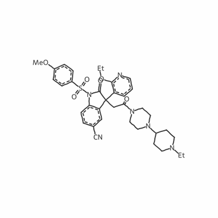 CCOc1ncccc1C1(CC(=O)N2CCN(C3CCN(CC)CC3)CC2)C(=O)N(S(=O)(=O)c2ccc(OC)cc2)c2ccc(C#N)cc21